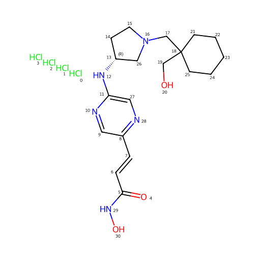 Cl.Cl.Cl.Cl.O=C(C=Cc1cnc(N[C@@H]2CCN(CC3(CO)CCCCC3)C2)cn1)NO